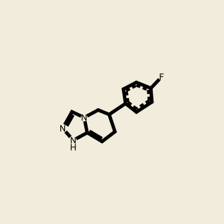 Fc1ccc(C2CC=C3NN=CN3C2)cc1